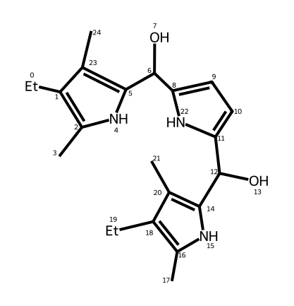 CCc1c(C)[nH]c(C(O)c2ccc(C(O)c3[nH]c(C)c(CC)c3C)[nH]2)c1C